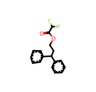 O=C(OCCC(c1ccccc1)c1ccccc1)C(F)F